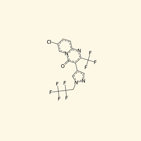 O=c1c(-c2cnn(CC(F)(F)C(F)(F)F)c2)c(C(F)(F)F)nc2ccc(Cl)cn12